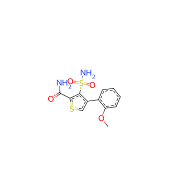 COc1ccccc1-c1csc(C(N)=O)c1S(N)(=O)=O